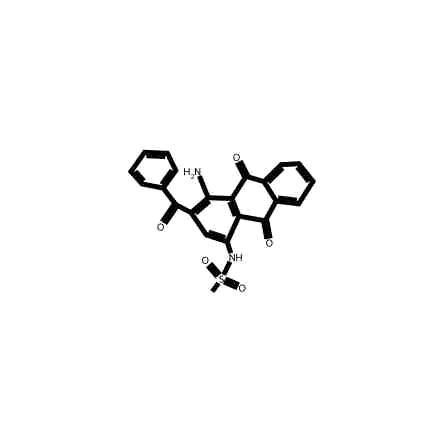 CS(=O)(=O)Nc1cc(C(=O)c2ccccc2)c(N)c2c1C(=O)c1ccccc1C2=O